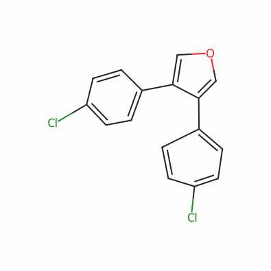 Clc1ccc(-c2cocc2-c2ccc(Cl)cc2)cc1